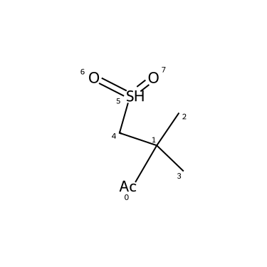 CC(=O)C(C)(C)C[SH](=O)=O